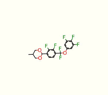 CC1COC(c2ccc(C(F)(F)Oc3cc(F)c(F)c(F)c3)c(F)c2F)OC1